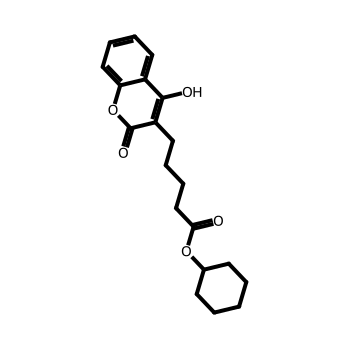 O=C(CCCCc1c(O)c2ccccc2oc1=O)OC1CCCCC1